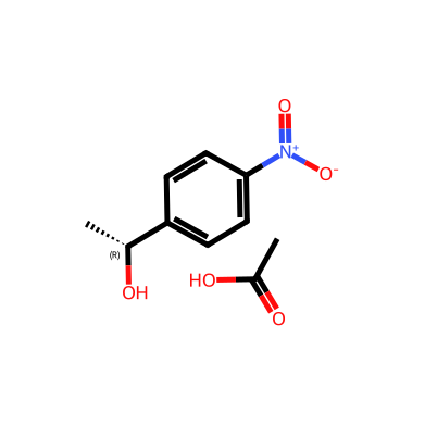 CC(=O)O.C[C@@H](O)c1ccc([N+](=O)[O-])cc1